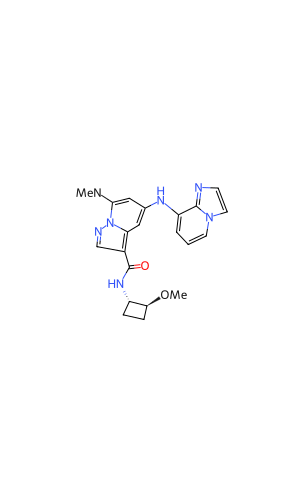 CNc1cc(Nc2cccn3ccnc23)cc2c(C(=O)N[C@H]3CC[C@@H]3OC)cnn12